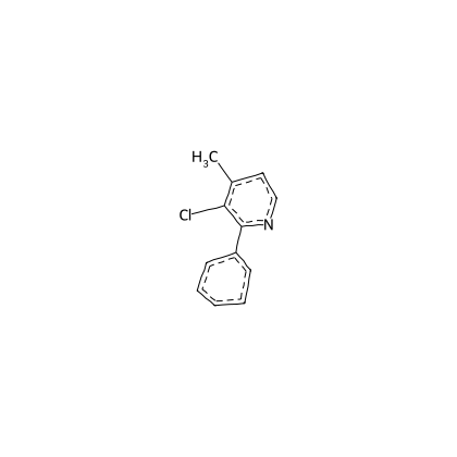 Cc1ccnc(-c2ccccc2)c1Cl